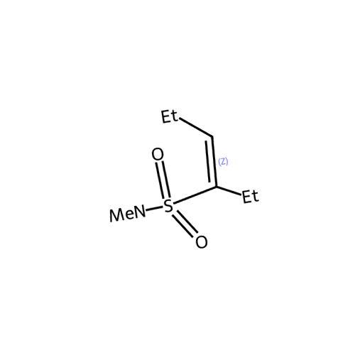 CC/C=C(/CC)S(=O)(=O)NC